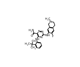 CN1CCc2cc(F)c(Nc3nnc(C(N)=O)c(Nc4ccccc4C(C)(C)C)n3)cc2C1